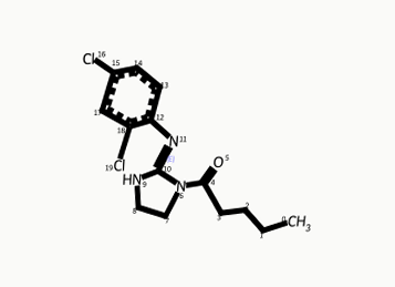 CCCCC(=O)N1CCN/C1=N\c1ccc(Cl)cc1Cl